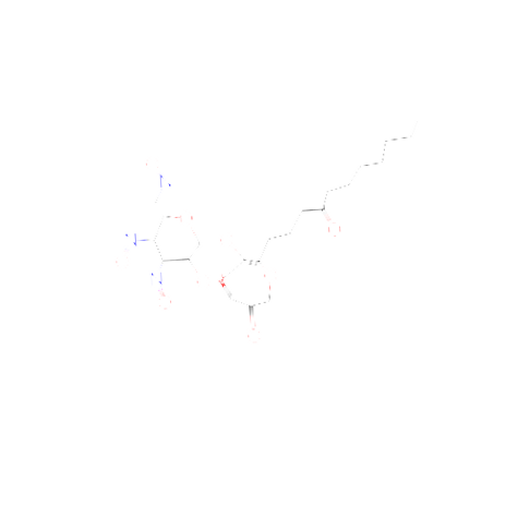 CCCCCCCC(=O)CCCC1=C(O[C@H]2O[C@@H](CN=O)C(N=O)C(N=O)C2O)C=CC(=O)CO1